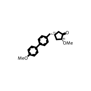 COc1ccc(-c2ccc(C[C@@H]3CC(=O)[C@H](OC)C3)cc2)cc1